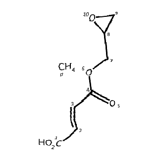 C.O=C(O)C=CC(=O)OCC1CO1